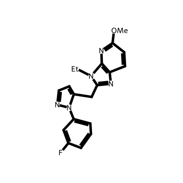 CCn1c(Cc2ccnn2-c2cccc(F)c2)nc2ccc(OC)nc21